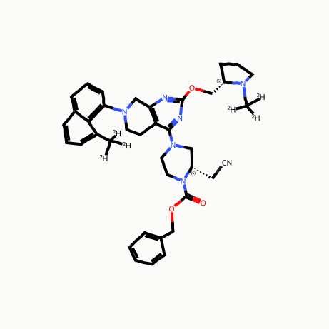 [2H]C([2H])([2H])c1cccc2cccc(N3CCc4c(nc(OC[C@@H]5CCCN5C([2H])([2H])[2H])nc4N4CCN(C(=O)OCc5ccccc5)[C@@H](CC#N)C4)C3)c12